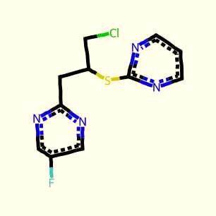 Fc1cnc(CC(CCl)Sc2ncccn2)nc1